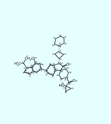 CC(C)n1cnc2cc(-c3ccc4c(c3)N([C@H]3C[C@@H](N5CCCCC5)C3)C(=O)C43CCN(C(=O)C4(O)CC4)CC3)nc(Cl)c21